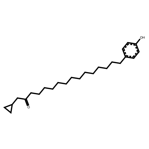 O=C(CCCCCCCCCCCCCCc1ccc(O)cc1)CC1CC1